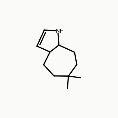 CC1(C)CCC2C=CNC2CC1